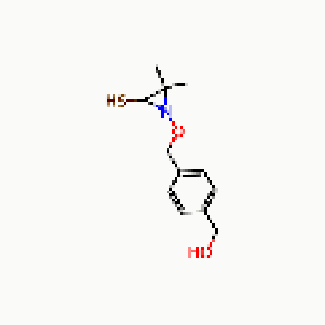 CC1(C)C(S)N1OCc1ccc(CO)cc1